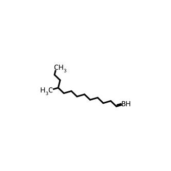 B=CCCCCCCCCC(C)CCC